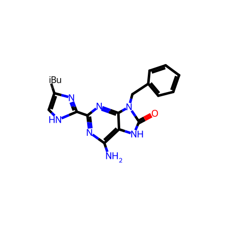 CCC(C)c1c[nH]c(-c2nc(N)c3[nH]c(=O)n(Cc4ccccc4)c3n2)n1